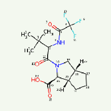 CC(C)(C)C(NC(=O)C(F)(F)F)C(=O)N1C[C@@H]2CCC[C@@H]2[C@H]1C(=O)O